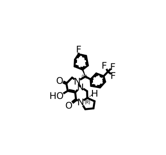 O=C1CN([C@@H](c2ccc(F)cc2)c2cccc(C(F)(F)F)c2)N2C[C@H]3CCCN3C(=O)C2=C1O